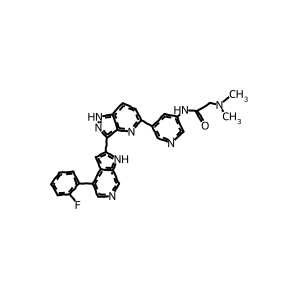 CN(C)CC(=O)Nc1cncc(-c2ccc3[nH]nc(-c4cc5c(-c6ccccc6F)cncc5[nH]4)c3n2)c1